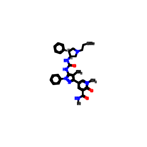 CCNC(=O)c1cc(-c2nn(-c3ccccc3)c(NC(=O)N[C@@H]3CN(CCOC)C[C@H]3c3ccccc3)c2C)cn(C)c1=O